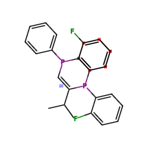 CC(C)/C(=C/P(c1ccccc1)c1ccccc1F)P(c1ccccc1)c1ccccc1F